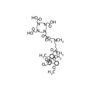 CCOc1cccc(OC)c1-c1cc(C=O)nn1-c1ccc(C(=O)N(C)CCCCN(C)CCCN(C)C(=O)CN2CCN(CC(=O)O)CCN(CC(=O)O)CCN(CC(=O)O)CC2)cc1C(C)C